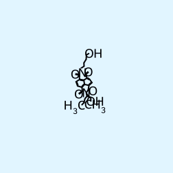 CC(C)CC(CO)N1C(=O)c2ccc3c4c(ccc(c24)C1=O)C(=O)N(CCCCCO)C3=O